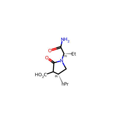 CCC[C@H]1CN([C@@H](CC)C(N)=O)C(=O)C1C(=O)O